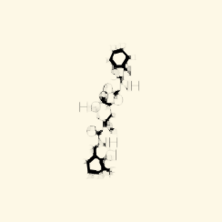 C[C@@H](C[C@H](OC(=O)Nc1nc2ccccc2s1)C(=O)O)N(C)C(=O)NCc1cccc(F)c1Cl